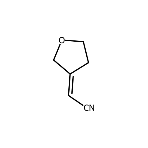 N#C/C=C1\CCOC1